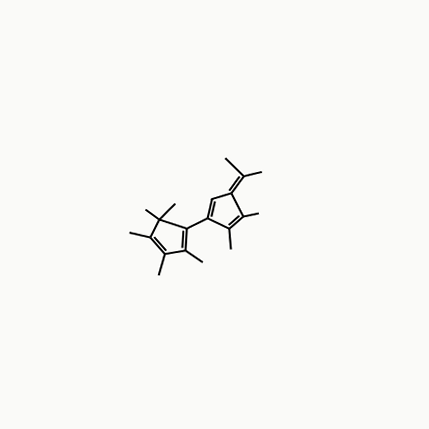 CC(C)=C1C=C(C2=C(C)C(C)=C(C)C2(C)C)C(C)=C1C